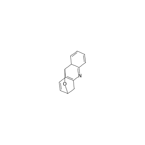 C1=CC2=NC3=C4C=CC(C3)OC4C2C=C1